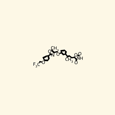 CC(=CCC1OC(=O)NC1=O)c1cccc(OCc2nc(-c3ccc(OCC(F)(F)F)cc3)oc2C)c1